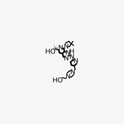 C[C@@H](O)c1cc2cnc(Nc3ccc(CN4CCN(CCO)CC4)cn3)nc2c(N2CCC(C)(C)C2)n1